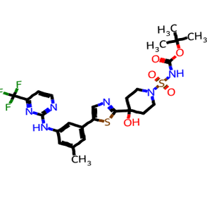 Cc1cc(Nc2nccc(C(F)(F)F)n2)cc(-c2cnc(C3(O)CCN(S(=O)(=O)NC(=O)OC(C)(C)C)CC3)s2)c1